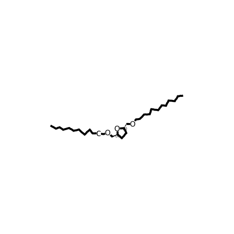 CCCCCCCCCCCCOC[C@@H]1CC[C@@H](COCCCCCCCCCCCC)O1